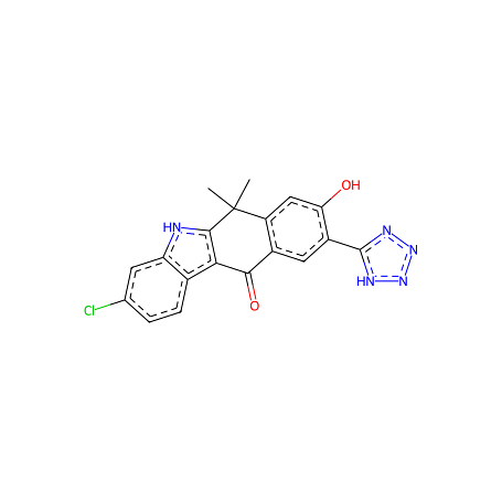 CC1(C)c2cc(O)c(-c3nnn[nH]3)cc2C(=O)c2c1[nH]c1cc(Cl)ccc21